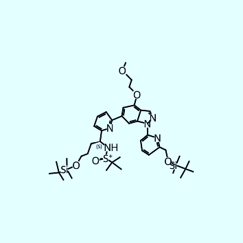 COCCOc1cc(-c2cccc([C@H](CCCO[Si](C)(C)C(C)(C)C)N[S+]([O-])C(C)(C)C)n2)cc2c1cnn2-c1cccc(CO[Si](C)(C)C(C)(C)C)n1